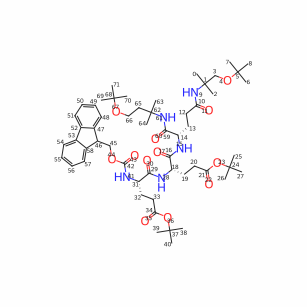 CC(C)(COC(C)(C)C)NC(=O)CC[C@H](NC(=O)[C@H](CCC(=O)OC(C)(C)C)NC(=O)[C@H](CCC(=O)OC(C)(C)C)NC(=O)OCC1c2ccccc2-c2ccccc21)C(=O)NC(C)(C)CCOC(C)(C)C